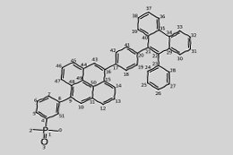 CP(C)(=O)c1cccc(-c2cc3cccc4c(-c5ccc(-c6c(-c7ccccc7)c7ccccc7c7ccccc67)cc5)cc5cccc2c5c34)c1